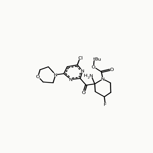 CC(C)(C)OC(=O)N1CCC(F)CC1(N)C(=O)c1nc(Cl)cc(N2CCOCC2)n1